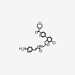 Nc1ccc(C=CC(=O)NCC2Cc3c(-c4ccc(C(=O)N5CCOCC5)nc4)ccc(Cl)c3O2)cn1